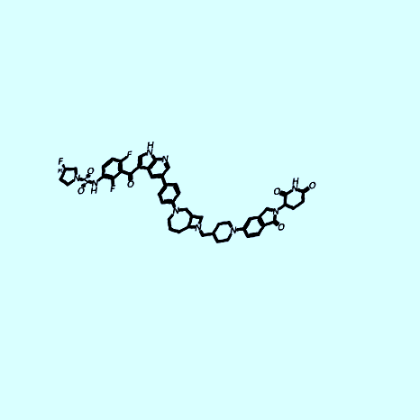 O=C1CCC(N2Cc3cc(N4CCC(CN5CC6CN(c7ccc(-c8cnc9[nH]cc(C(=O)c%10c(F)ccc(NS(=O)(=O)N%11CC[C@@H](F)C%11)c%10F)c9c8)cc7)CCCC65)CC4)ccc3C2=O)C(=O)N1